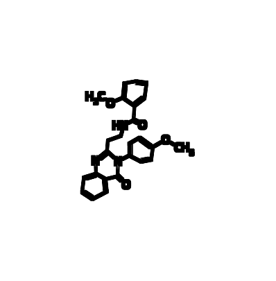 COc1ccc(-n2c(CCNC(=O)c3ccccc3OC)nc3ccccc3c2=O)cc1